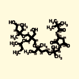 CCC(C)OCC(CO)(COC(C)(CC)CCO)COC(C)(CC)CCOC(C)(C)CN1C(=O)CC(SC(=O)C(C)(C)C)C1=O